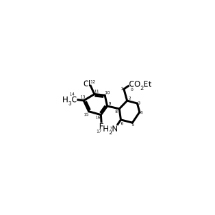 CCOC(=O)CC1CCCC(N)C1c1cc(Cl)c(C)cc1F